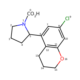 O=C(O)N1CCCC1c1cc(Cl)cc2c1CCCO2